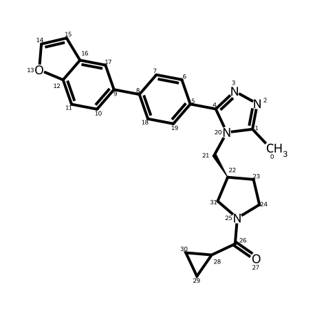 Cc1nnc(-c2ccc(-c3ccc4occc4c3)cc2)n1C[C@H]1CCN(C(=O)C2CC2)C1